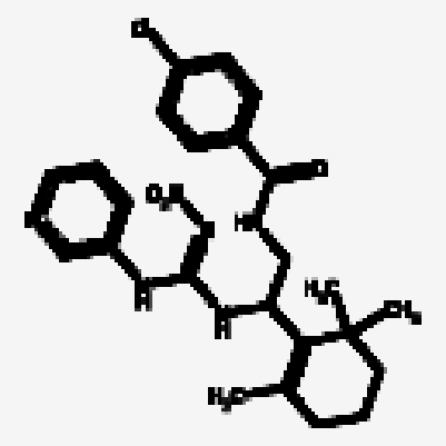 CC1=C(C(CNC(=O)c2ccc(Cl)cc2)NC(=N[N+](=O)[O-])Nc2cccnc2)C(C)(C)CCC1